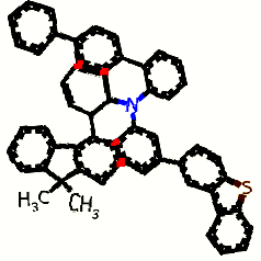 CC1(C)c2ccccc2-c2c(C3C=CC=CC3N(c3cccc(-c4ccc5sc6ccccc6c5c4)c3)c3ccccc3-c3ccc(-c4ccccc4)cc3)cccc21